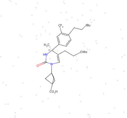 COCCC1=CN(C23CC(C(=O)O)(C2)C3)C(=O)N[C@@]1(C)c1ccc(CCC(C)(C)C)c(C(F)(F)F)c1